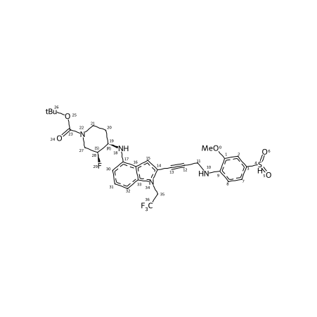 COc1cc([SH](=O)=O)ccc1NCC#Cc1cc2c(N[C@@H]3CCN(C(=O)OC(C)(C)C)C[C@@H]3F)cccc2n1CC(F)(F)F